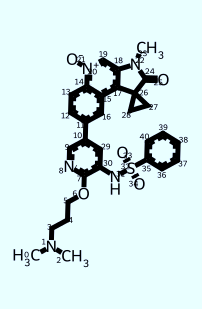 CN(C)CCCOc1ncc(-c2ccc3c(c2)c2c(c[n+]3[O-])N(C)C(=O)C23CC3)cc1NS(=O)(=O)c1ccccc1